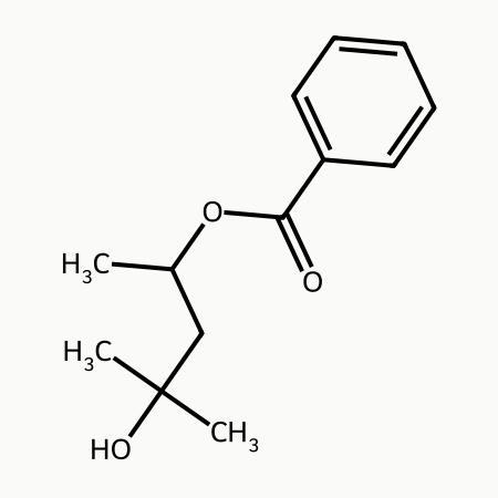 CC(CC(C)(C)O)OC(=O)c1ccccc1